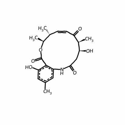 Cc1cc(O)c2c(c1)NC(=O)C[C@H](O)[C@H](C)C(=O)/C=C\[C@@H](C)[C@H](C)OC2=O